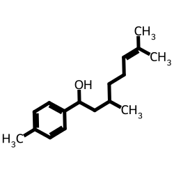 CC(C)=CCCC(C)CC(O)c1ccc(C)cc1